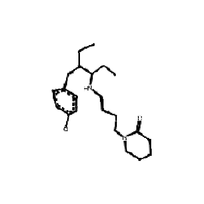 CCC(Cc1ccc(Cl)cc1)C(CC)NCCCCN1CCCCC1=O